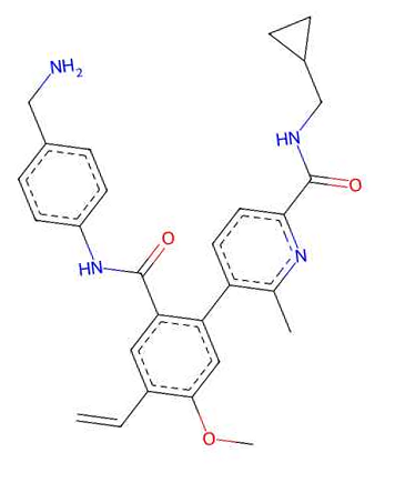 C=Cc1cc(C(=O)Nc2ccc(CN)cc2)c(-c2ccc(C(=O)NCC3CC3)nc2C)cc1OC